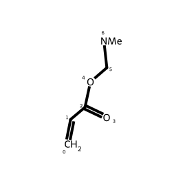 C=CC(=O)OCNC